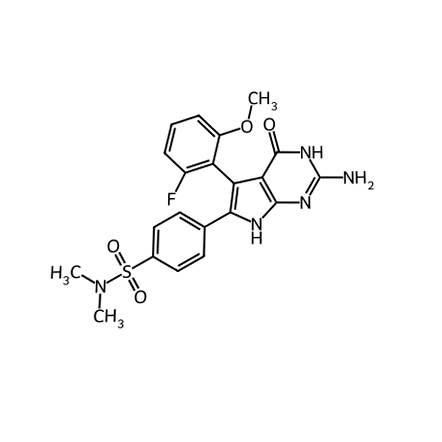 COc1cccc(F)c1-c1c(-c2ccc(S(=O)(=O)N(C)C)cc2)[nH]c2nc(N)[nH]c(=O)c12